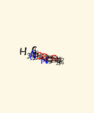 Cc1cc(OCc2nc3ccc(Oc4ccccc4)cc3o2)ccn1